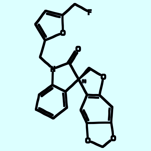 O=C1N(Cc2ccc(CF)o2)c2ccccc2[C@]12COc1cc3c(cc12)OCO3